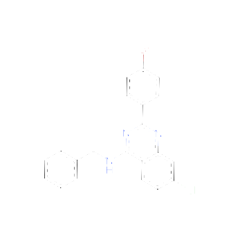 Clc1ccc2c(NCc3ccccc3)nc(-c3ccc(Br)cc3)nc2c1